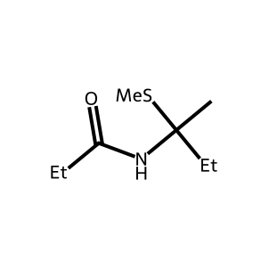 CCC(=O)NC(C)(CC)SC